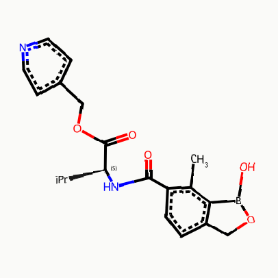 Cc1c(C(=O)N[C@H](C(=O)OCc2ccncc2)C(C)C)ccc2c1B(O)OC2